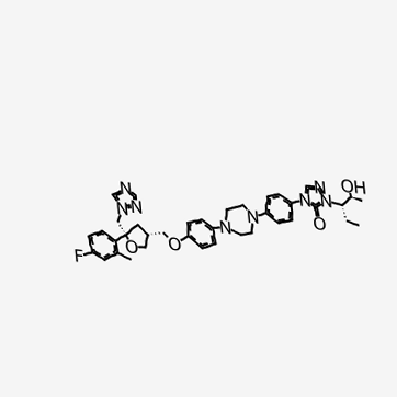 CC[C@@H]([C@H](C)O)n1ncn(-c2ccc(N3CCN(c4ccc(OC[C@@H]5CO[C@@](Cn6cncn6)(c6ccc(F)cc6C)C5)cc4)CC3)cc2)c1=O